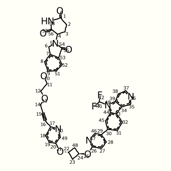 O=C1CCC(N2Cc3cc(OCCOCC#Cc4ccc(O[C@H]5C[C@H](Oc6ccc(-c7ccc8c9cnccc9n(C(F)F)c8c7)cn6)C5)cn4)ccc3C2=O)C(=O)N1